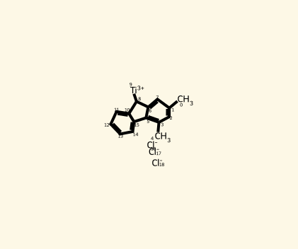 Cc1cc(C)c2c(c1)[CH]([Ti+3])c1ccccc1-2.[Cl-].[Cl-].[Cl-]